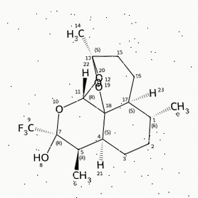 C[C@@H]1CC[C@H]2[C@@H](C)[C@](O)(C(F)(F)F)O[C@@H]3O[C@]4(C)CC[C@@H]1C32OO4